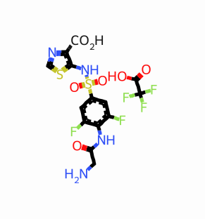 NCC(=O)Nc1c(F)cc(S(=O)(=O)Nc2scnc2C(=O)O)cc1F.O=C(O)C(F)(F)F